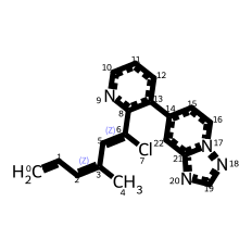 C=C/C=C(C)\C=C(/Cl)c1ncccc1-c1ccn2ncnc2c1